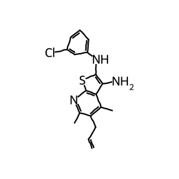 C=CCc1c(C)nc2sc(Nc3cccc(Cl)c3)c(N)c2c1C